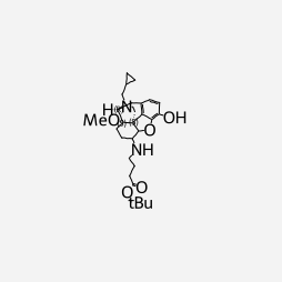 CO[C@@]12CCC(NCCCC(=O)OC(C)(C)C)C3Oc4c(O)ccc5c4[C@@]31CCN(CC1CC1)[C@@H]2C5